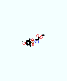 CCOC(=O)CCNS(=O)(=O)c1c(C)cc(OC)cc1C